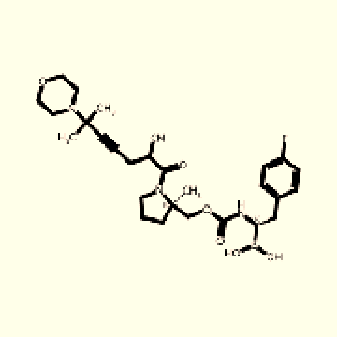 CC(C)(C#CCC(C#N)C(=O)N1CCC[C@]1(C)COC(=O)N[C@@H](Cc1ccc(F)cc1)B(O)O)N1CCOCC1